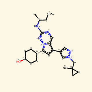 COC[C@H](C)Nc1ncc2c(-c3cnn(CC4(C#N)CC4)c3)cc([C@H]3CC[C@H](O)CC3)n2n1